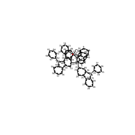 CC1(c2cccc3ccccc23)c2ccccc2-c2c1c(N(c1ccc3c4ccccc4n(-c4ccccc4)c3c1)c1ccccc1-c1ccccc1)cc1c3ccccc3n(-c3ccccc3)c21